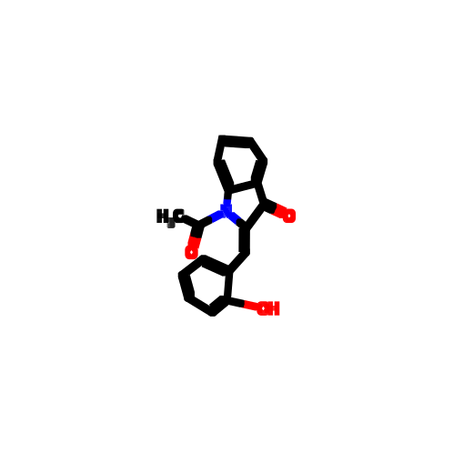 CC(=O)N1/C(=C\c2ccccc2O)C(=O)c2ccccc21